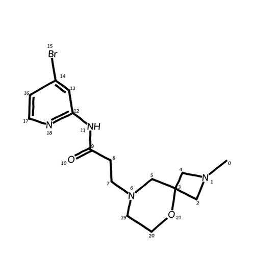 CN1CC2(C1)CN(CCC(=O)Nc1cc(Br)ccn1)CCO2